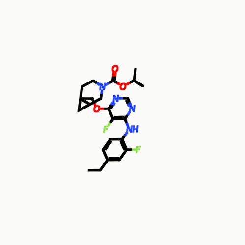 CCc1ccc(Nc2ncnc(OCC34CCN(C(=O)OC(C)C)CC3C4)c2F)c(F)c1